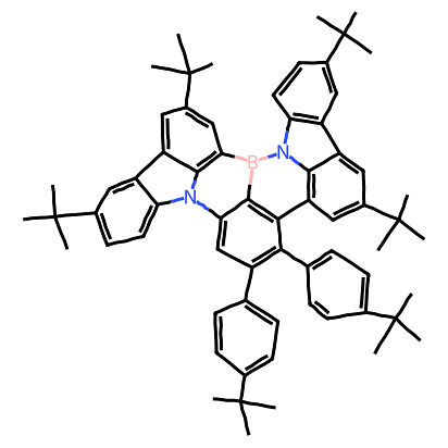 CC(C)(C)c1ccc(-c2cc3c4c(c2-c2ccc(C(C)(C)C)cc2)-c2cc(C(C)(C)C)cc5c6cc(C(C)(C)C)ccc6n(c25)B4c2cc(C(C)(C)C)cc4c5cc(C(C)(C)C)ccc5n-3c24)cc1